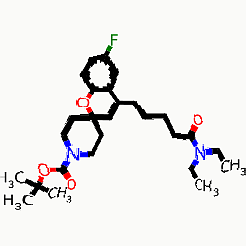 CCN(CC)C(=O)CCCCC1=CC2(CCN(C(=O)OC(C)(C)C)CC2)Oc2ccc(F)cc21